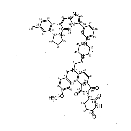 COc1ccc(CN(CCN2CCN(c3cccc(-c4cnc5ccc(N6CCC[C@@H]6c6cccc(F)c6)nn45)n3)CC2)c2ccc3c(c2)C(=O)N(C2CCC(=O)NC2=O)C3=O)cc1